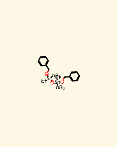 CCC[CH2][Sn]([CH2]C)([O]Cc1ccccc1)[O][Sn]([CH2]C)([CH2]CCC)[O]Cc1ccccc1